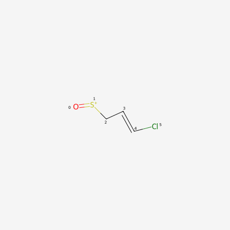 O=[S+]CC=CCl